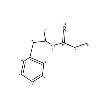 [CH2]C(Cc1ccccc1)OC(=O)CC